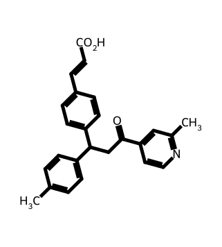 Cc1ccc(C(CC(=O)c2ccnc(C)c2)c2ccc(C=CC(=O)O)cc2)cc1